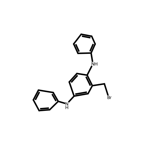 BrCc1cc(Nc2ccccc2)ccc1Nc1ccccc1